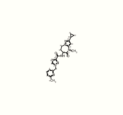 Cc1cccc(Cn2cnc(C(=O)NC3CCn4nc(C5CC5)cc4N(C)C3=O)n2)n1